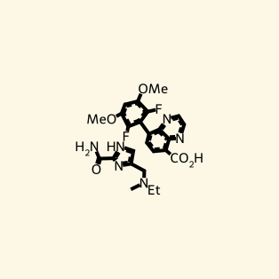 CCN(C)Cc1c[nH]c(C(N)=O)n1.COc1cc(OC)c(F)c(-c2ccc(C(=O)O)c3nccnc23)c1F